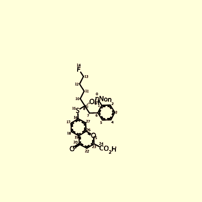 CCCCCCCCCc1ccccc1C[C@](O)(CCCCF)Sc1ccc2c(=O)cc(C(=O)O)oc2c1